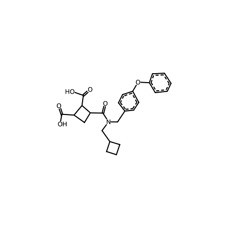 O=C(O)C1CC(C(=O)N(Cc2ccc(Oc3ccccc3)cc2)CC2CCC2)C1C(=O)O